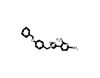 Nc1ccc(-c2cn(Cc3ccc(OCc4ccccc4)cc3)nn2)c(N)n1